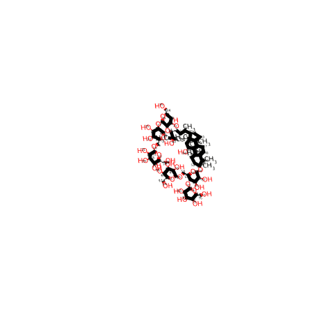 C[C@H](CC[C@@H](O[C@@H]1O[C@H](CO[C@@H]2O[C@H](CO)[C@@H](O)[C@H](O)[C@H]2O)[C@@H](O)[C@H](O)[C@H]1O[C@H]1C[C@@H](O)C[C@@H](CO)O1)C(C)(C)O)[C@H]1CC[C@@]2(C)[C@@H]3CC=C4[C@@H](CC[C@H](O[C@@H]5O[C@H](CO[C@@H]6O[C@H](CO)[C@@H](O)[C@H](O)[C@H]6O)[C@@H](O[C@@H]6O[C@H](CO)[C@@H](O)[C@H](O)[C@H]6O)[C@H](O)[C@H]5O)C4(C)C)[C@]3(C)[C@H](O)C[C@]12C